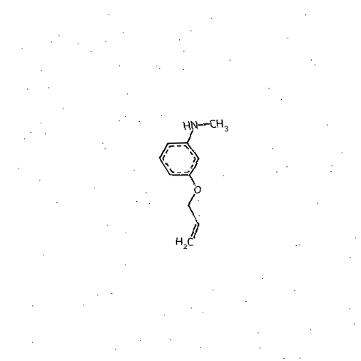 C=CCOc1cccc(NC)c1